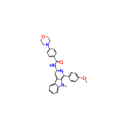 COc1ccc(-c2nc(NC(=O)c3ccc(N4CCOCC4)cc3)cc3c4ccccc4n(C)c23)cc1